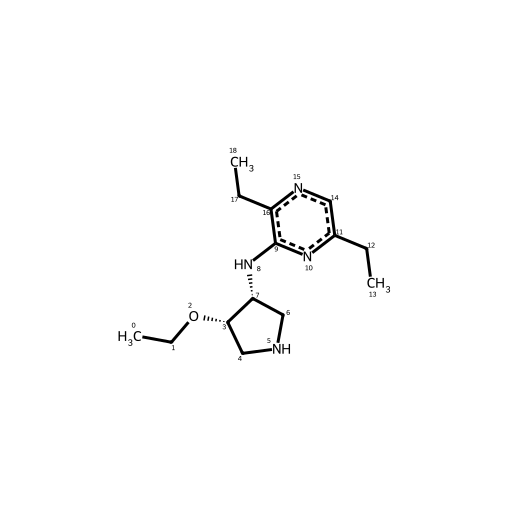 CCO[C@H]1CNC[C@H]1Nc1nc(CC)cnc1CC